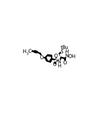 CC#CCOc1ccc(S(=O)(=O)N[C@H](CSC(C)(C)C)C(=O)NO)cc1